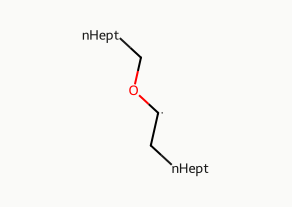 CCCCCCCC[CH]OCCCCCCCC